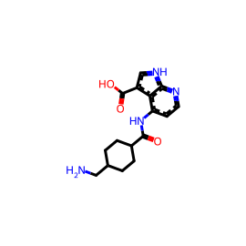 NCC1CCC(C(=O)Nc2ccnc3[nH]cc(C(=O)O)c23)CC1